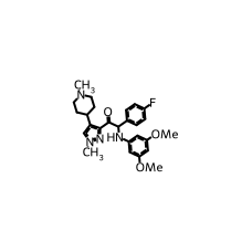 COc1cc(NC(C(=O)c2nn(C)cc2C2CCN(C)CC2)c2ccc(F)cc2)cc(OC)c1